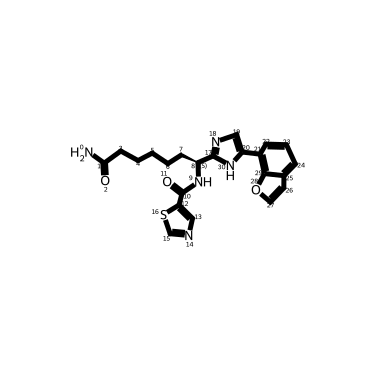 NC(=O)CCCCC[C@H](NC(=O)c1cncs1)c1ncc(-c2cccc3ccoc23)[nH]1